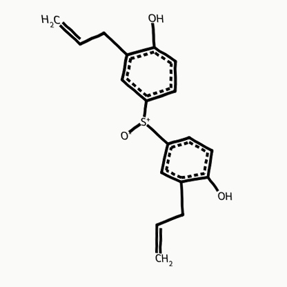 C=CCc1cc([S+]([O-])c2ccc(O)c(CC=C)c2)ccc1O